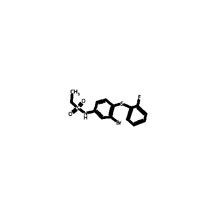 CCS(=O)(=O)Nc1ccc(Sc2ccccc2F)c(Br)c1